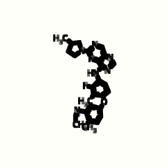 C/C=N\c1cc(Oc2ccc(Nc3ncnc4cnc(N5CCC(C)C5)nc34)c(F)c2C)ccc1C